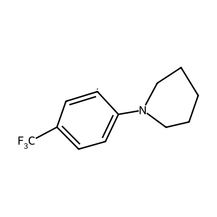 FC(F)(F)c1c[c]c(N2CCCCC2)cc1